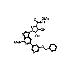 CNc1nc(-c2cncc(OCc3ccccc3)c2)nc2c1ncn2C1O[C@@H](C(=O)NOC)C(O)C1O